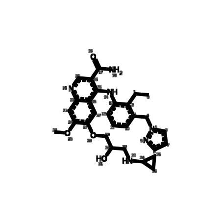 CCc1c(Cn2cccn2)cccc1Nc1c(C(N)=O)cnc2cc(OC)c(OCC(O)CNC3CC3)cc12